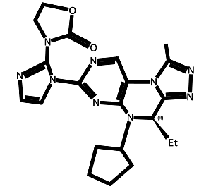 CC[C@@H]1c2nnc(C)n2-c2cnc(-n3ccnc3N3CCOC3=O)nc2N1C1CCCC1